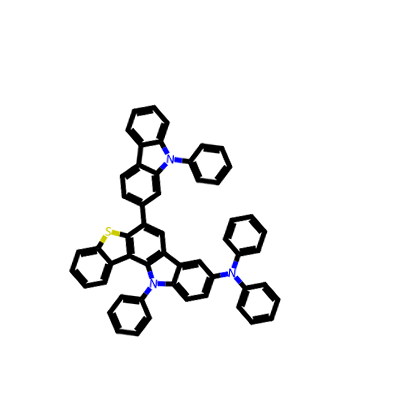 c1ccc(N(c2ccccc2)c2ccc3c(c2)c2cc(-c4ccc5c6ccccc6n(-c6ccccc6)c5c4)c4sc5ccccc5c4c2n3-c2ccccc2)cc1